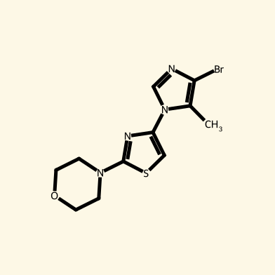 Cc1c(Br)ncn1-c1csc(N2CCOCC2)n1